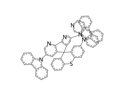 c1ccc2c(c1)Sc1ccc(-n3c4ccccc4c4ccncc43)cc1C21c2cc(-n3c4ccccc4c4ccccc43)cnc2-c2ncc(-n3c4ccccc4c4ccccc43)cc21